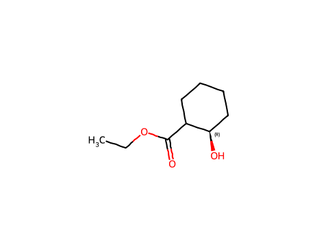 CCOC(=O)C1CCCC[C@H]1O